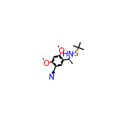 COc1cc(OC)c([C@H](C)NSC(C)(C)C)cc1C#N